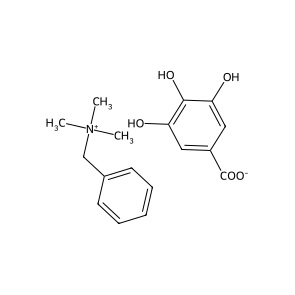 C[N+](C)(C)Cc1ccccc1.O=C([O-])c1cc(O)c(O)c(O)c1